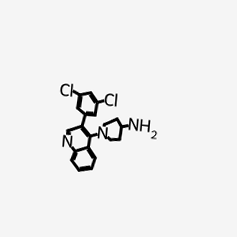 NC1CCN(c2c(-c3cc(Cl)cc(Cl)c3)cnc3ccccc23)CC1